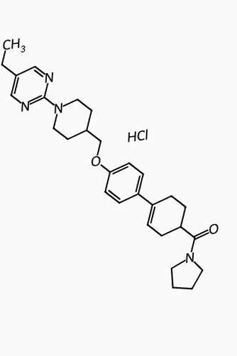 CCc1cnc(N2CCC(COc3ccc(C4=CCC(C(=O)N5CCCC5)CC4)cc3)CC2)nc1.Cl